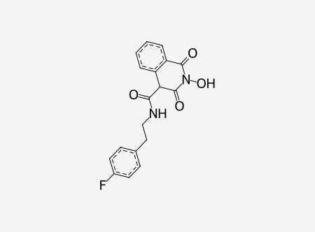 O=C(NCCc1ccc(F)cc1)C1C(=O)N(O)C(=O)c2ccccc21